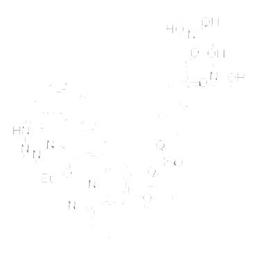 CCOc1nc2cccc(C(=O)OC(C)OC(=O)OCCCC[C@H](CON(O)O)ON(O)O)c2n1Cc1ccc(-c2ccccc2-c2nnn[nH]2)cc1